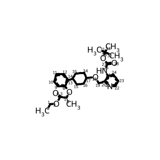 CCOC(=O)[C@@H](C)Oc1ccccc1C1CCC(OCc2ncccc2NC(=O)OC(C)(C)C)CC1